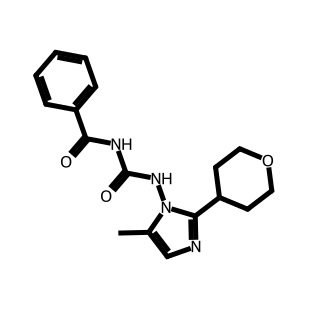 Cc1cnc(C2CCOCC2)n1NC(=O)NC(=O)c1ccccc1